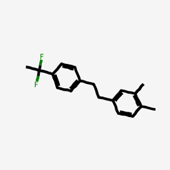 Cc1ccc(CCc2ccc(C(C)(F)F)cc2)cc1C